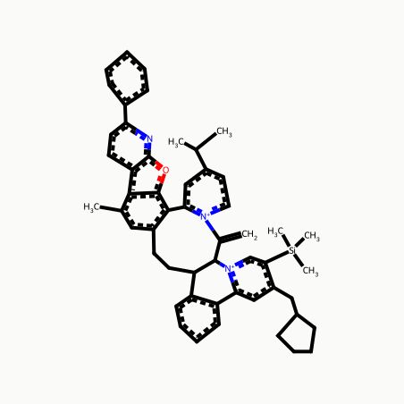 C=C1C2C(CCc3cc(C)c4c(oc5nc(-c6ccccc6)ccc54)c3-c3cc(C(C)C)cc[n+]31)c1ccccc1-c1cc(CC3CCCC3)c([Si](C)(C)C)c[n+]12